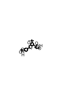 COc1c(C(C)(C)C)cc(N2CCC(=O)NC2=O)c(F)c1/C=C(\C)c1ccc(NS(C)(=O)=O)cc1